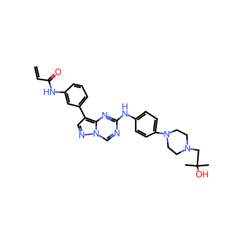 C=CC(=O)Nc1cccc(-c2cnn3cnc(Nc4ccc(N5CCN(CC(C)(C)O)CC5)cc4)nc23)c1